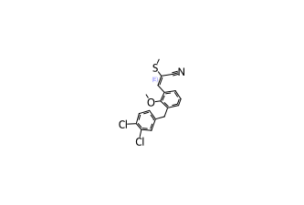 COc1c(/C=C(\C#N)SC)cccc1Cc1ccc(Cl)c(Cl)c1